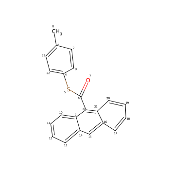 Cc1ccc(SC(=O)c2c3ccccc3cc3ccccc23)cc1